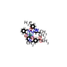 C=C(C)c1cc(NC(=O)NCc2ccccc2COc2cc(C)n(Cc3ccc(C(=O)OC)cc3)c(=O)c2Br)n(-c2ccc(C)cc2)n1